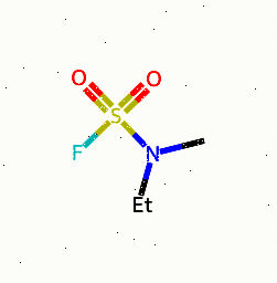 CCN(C)S(=O)(=O)F